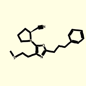 CSCCc1nc(CCCc2ccccc2)oc1N1CCC[C@H]1C#N